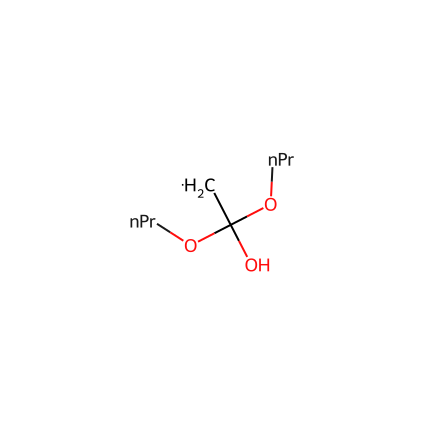 [CH2]C(O)(OCCC)OCCC